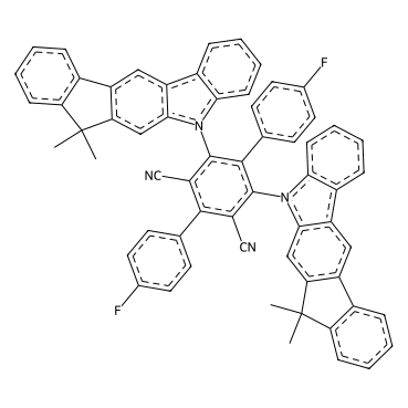 CC1(C)c2ccccc2-c2cc3c4ccccc4n(-c4c(C#N)c(-c5ccc(F)cc5)c(C#N)c(-n5c6ccccc6c6cc7c(cc65)C(C)(C)c5ccccc5-7)c4-c4ccc(F)cc4)c3cc21